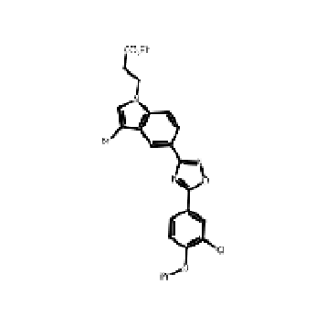 CCOC(=O)CCn1cc(Br)c2cc(-c3noc(-c4ccc(OC(C)C)c(Cl)c4)n3)ccc21